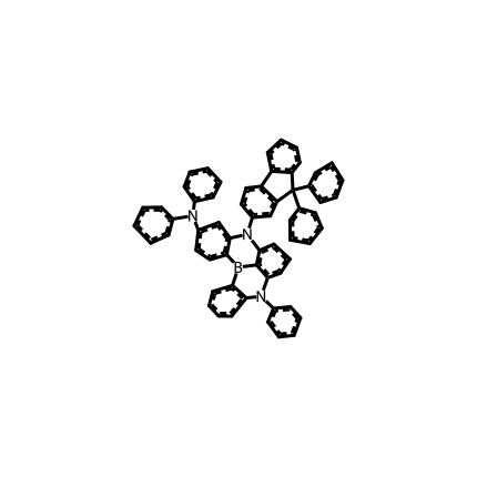 c1ccc(N(c2ccccc2)c2ccc3c(c2)N(c2ccc4c(c2)C(c2ccccc2)(c2ccccc2)c2ccccc2-4)c2cccc4c2B3c2ccccc2N4c2ccccc2)cc1